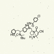 CC(N(C(=O)O)C(Cc1ccccc1)c1ccc2c(c1)nc(NC(=O)c1ccc(Cl)cc1)n2CC1CCCN1C(=O)C(C#N)=CC(C)(C)N)C(C)(C)C